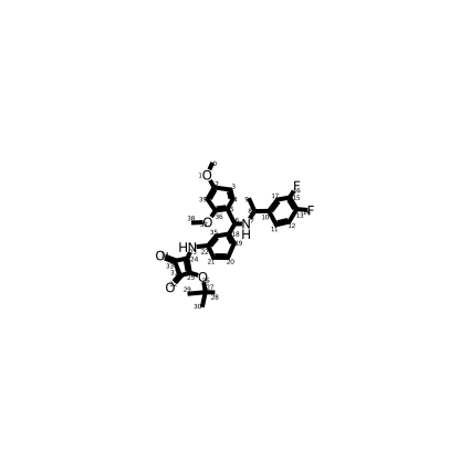 COc1ccc(C(NC(C)c2ccc(F)c(F)c2)c2cccc(Nc3c(OC(C)(C)C)c(=O)c3=O)c2)c(OC)c1